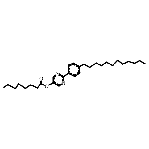 CCCCCCCCCCCCc1ccc(-c2ncc(OC(=O)CCCCCCC)cn2)cc1